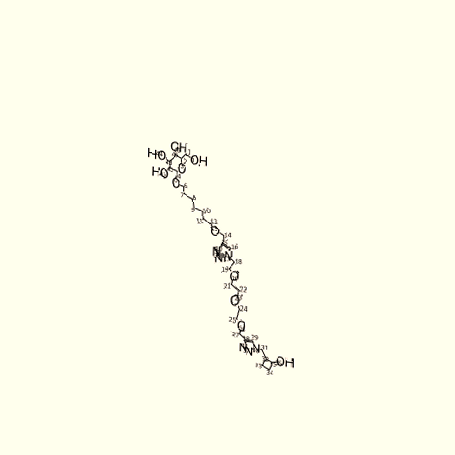 OCC1OC(OCCCCCCCOCc2cn(CCOCCOCCOCc3cn(CC4CCC4O)nn3)nn2)C(O)C(O)C1O